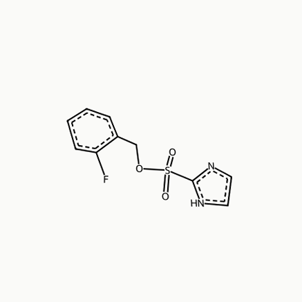 O=S(=O)(OCc1ccccc1F)c1ncc[nH]1